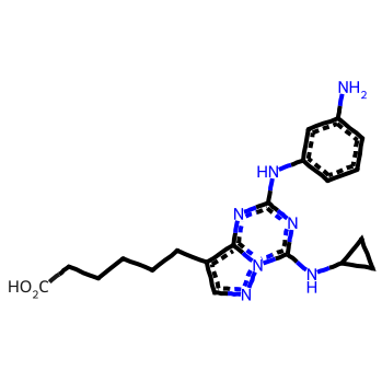 Nc1cccc(Nc2nc(NC3CC3)n3ncc(CCCCCC(=O)O)c3n2)c1